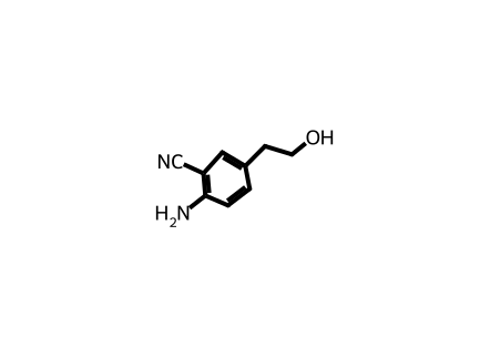 N#Cc1cc(CCO)ccc1N